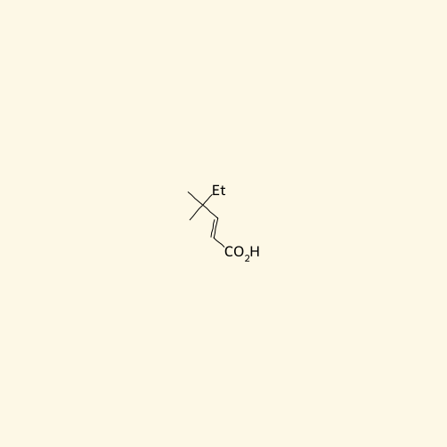 CCC(C)(C)C=CC(=O)O